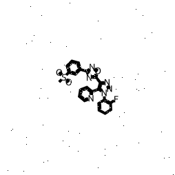 CS(=O)(=O)c1cccc(-c2noc(-c3nnn(C4=C(F)CCC=C4)c3-c3ccccn3)n2)c1